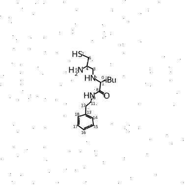 CCC(C)[C@H](NCC(N)CS)C(=O)NCCc1ccccc1